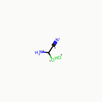 Cl.N#CC(N)Cl